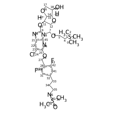 CS(C)(C)CCOCn1c(O[C@@H]2CO[C@H]3[C@@H]2OC[C@H]3O)nc2cc(Cl)c(OCc3c(F)cc(CCCN=S(C)(C)=O)cc3F)nc21